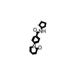 O=C(NC1[CH]CCC1)c1ccc(-n2ccccc2=O)cc1